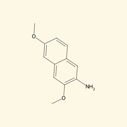 COc1ccc2cc(N)c(OC)cc2c1